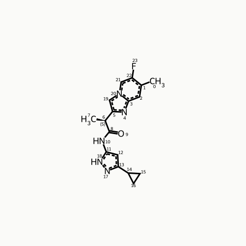 Cc1cc2nc([C@H](C)C(=O)Nc3cc(C4CC4)n[nH]3)cn2cc1F